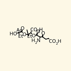 CCC(O)(C(C)=O)C(=O)OC(C)(CC)C(OC(=O)C(N)C(=O)CCC(=O)O)C(=O)O